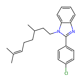 CC(C)=CCCC(C)CCn1c(-c2ccc(Cl)cc2)nc2ccccc21